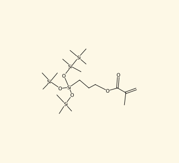 C=C(C)C(=O)OCCC[Si](O[Si](C)(C)C)(O[Si](C)(C)C)O[Si](C)(C)[Si](C)(C)C